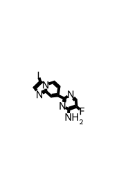 Nc1nc(-c2ccn3c(I)cnc3c2)ncc1F